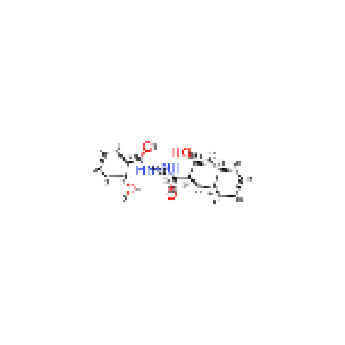 COc1ccccc1C(=O)NNC(=O)c1cc2ccccc2cc1O